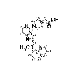 CN(Cc1cn2c(N3CCN(CC(=O)O)CC3)nccc2n1)[C@H]1CCCc2cccnc21